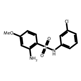 COc1ccc(S(=O)(=O)Nc2cccc(Cl)c2)c(N)c1